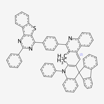 C=c1c(-c2ccc(-c3nc(-c4ccccc4)nc4c3sc3ccccc34)cc2)nc2ccccc2/c1=C/C1=C(C)N(c2ccccc2)c2ccccc2C12c1ccccc1-c1ccccc12